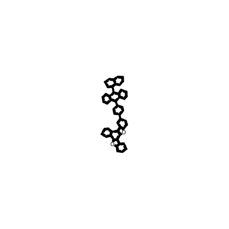 c1ccc2c(-c3c4ccccc4c(-c4ccc(-c5ccc6oc7c(c6c5)c5ccccc5c5oc6ccccc6c57)cc4)c4ccccc34)cccc2c1